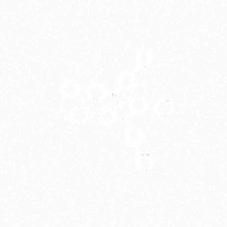 c1ccc(-c2ccc(N3B4c5cc(-c6ccccc6)ccc5N(c5ccc(-c6ccccc6)cc5)c5cc(-c6ccccc6)cc(c54)-c4cc(-c5ccccc5)ccc43)cc2)cc1